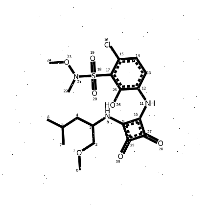 COCC(CC(C)C)Nc1c(Nc2ccc(Cl)c(S(=O)(=O)N(C)OC)c2O)c(=O)c1=O